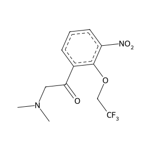 CN(C)CC(=O)c1cccc([N+](=O)[O-])c1OCC(F)(F)F